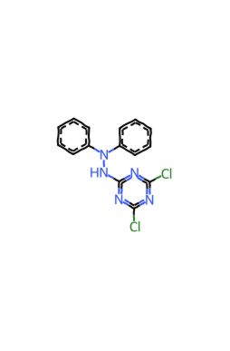 Clc1nc(Cl)nc(NN(c2ccccc2)c2ccccc2)n1